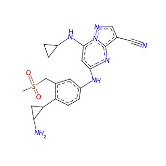 CS(=O)(=O)Cc1cc(Nc2cc(NC3CC3)n3ncc(C#N)c3n2)ccc1C1CC1N